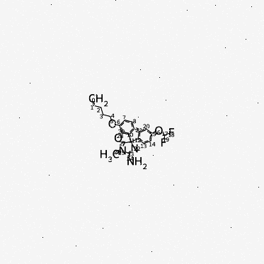 C=CCCCOc1cccc(C2(c3ccc(OC(F)F)cc3)N=C(N)N(C)C2=O)c1